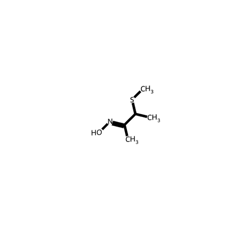 CSC(C)/C(C)=N/O